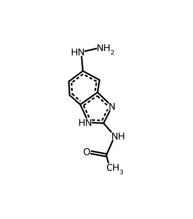 CC(=O)Nc1nc2cc(NN)ccc2[nH]1